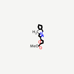 COC(=O)c1ccc(-c2cc(C)n(Cc3ccccc3)n2)o1